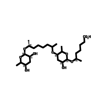 CC(CCCC[C@@H](C)O[C@@H]1OC(C)[C@H](O)C[C@@H]1O)O[C@@H]1C[C@H](O)[C@H](O[C@H](C)CCCCC(=O)O)OC1C